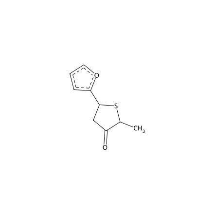 CC1SC(c2ccco2)CC1=O